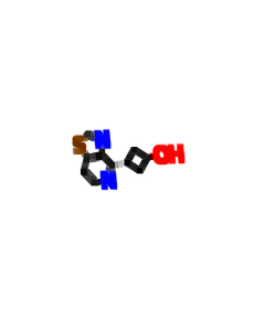 O[C@H]1C[C@H](c2nccc3scnc32)C1